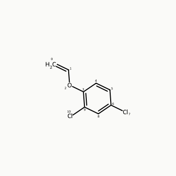 C=COc1ccc(Cl)cc1Cl